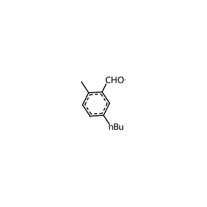 CCCCc1ccc(C)c([C]=O)c1